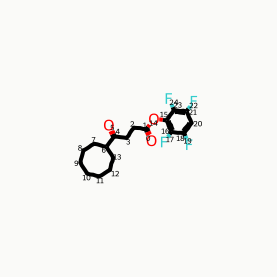 O=C(CCC(=O)C1CCCCCCC1)Oc1c(F)c(F)cc(F)c1F